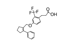 O=C(O)CCc1ccc(OCC2=C(c3ccccc3)CCC2)cc1C(F)(F)F